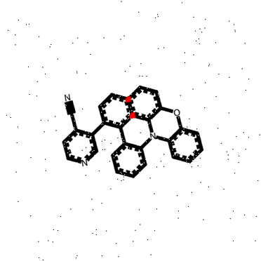 N#Cc1ccncc1-c1ccccc1-c1ccccc1N1c2ccccc2Oc2ccccc21